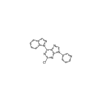 Clc1nc(-n2ncc3ccccc32)c2ncn(-c3cccnc3)c2n1